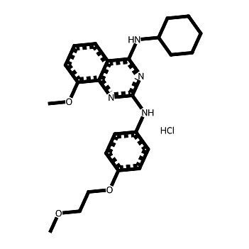 COCCOc1ccc(Nc2nc(NC3CCCCC3)c3cccc(OC)c3n2)cc1.Cl